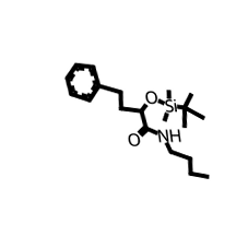 CCCCNC(=O)C(CCc1ccccc1)O[Si](C)(C)C(C)(C)C